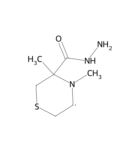 CN1[CH]CSCC1(C)C(=O)NN